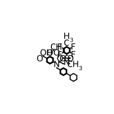 CC(=O)Oc1cc(N(Cc2ccc(C3CCCCC3)cc2)C(=O)CN(C)S(=O)(=O)c2c(F)c(F)c(C)c(F)c2F)ccc1C(=O)O